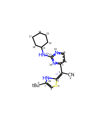 CC(C)(C)C1=CS/C(=C(\C#N)c2ccnc(NC3CCCCC3)n2)N1